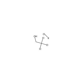 OCC(Cl)(Cl)Cl.[Cl][K]